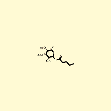 CC(=O)O[C@@H]1[C@H](OC(C)=O)[C@H](C)OC(OC(=O)CCCBr)[C@H]1OC(C)=O